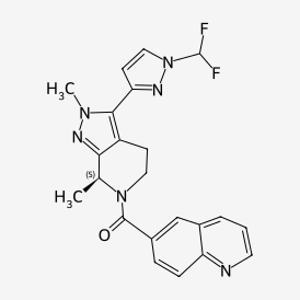 C[C@H]1c2nn(C)c(-c3ccn(C(F)F)n3)c2CCN1C(=O)c1ccc2ncccc2c1